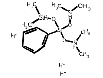 C[SiH](C)O[Si](O[SiH](C)C)(O[SiH](C)C)c1ccccc1.[H+].[H+].[H+]